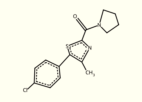 Cc1nc(C(=O)N2CCCC2)sc1-c1ccc(Cl)cc1